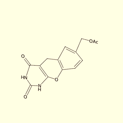 CC(=O)OCc1ccc2c(c1)Cc1c([nH]c(=O)[nH]c1=O)O2